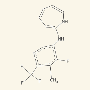 Cc1c(C(F)(F)F)ccc(NC2=CC=CC=CN2)c1F